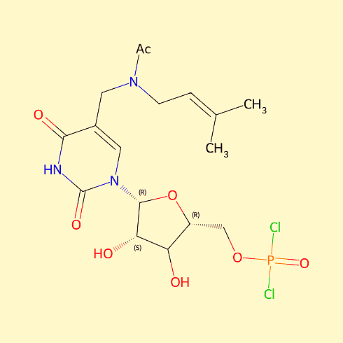 CC(=O)N(CC=C(C)C)Cc1cn([C@@H]2O[C@H](COP(=O)(Cl)Cl)C(O)[C@@H]2O)c(=O)[nH]c1=O